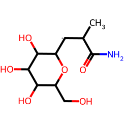 CC([CH]C1OC(CO)C(O)C(O)C1O)C(N)=O